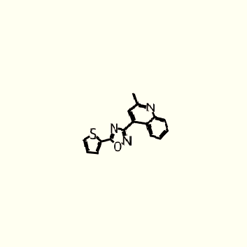 Cc1cc(-c2noc(-c3cccs3)n2)c2ccccc2n1